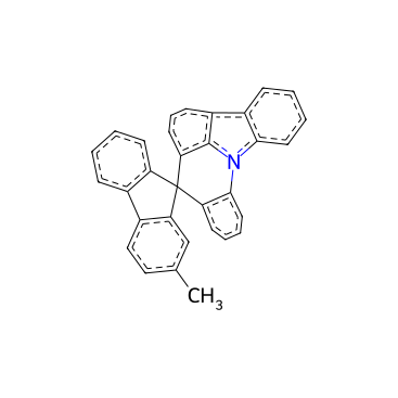 Cc1ccc2c(c1)C1(c3ccccc3-2)c2ccccc2-n2c3ccccc3c3cccc1c32